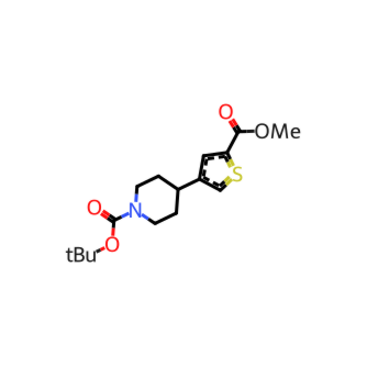 COC(=O)c1cc(C2CCN(C(=O)OC(C)(C)C)CC2)cs1